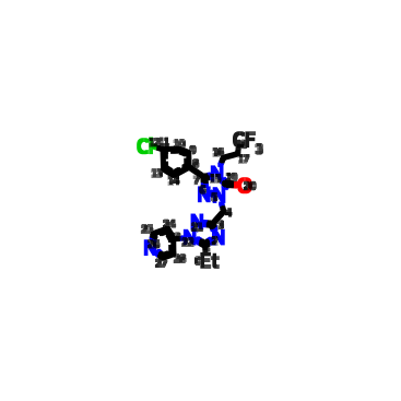 CCc1nc(Cn2nc(-c3ccc(Cl)cc3)n(CCC(F)(F)F)c2=O)nn1-c1ccncc1